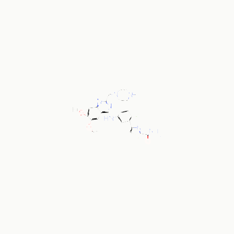 CCOc1cc2nc(CN3CCN(C)CC3)nc(Nc3ccc(F)c(-c4csc(C(N)=O)n4)c3)c2cc1OCC